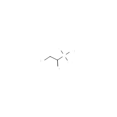 C[Si](C)(C)C(Br)CBr